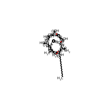 CCCCCCCCCCCCCCCCCCC(=O)N[C@@H](CC)CN1C(=O)N[C@H](CCC(N)=O)C(=O)N[C@@H]2CSCc3ccccc3CSC[C@@H](NC(=O)[C@H](CCC(=O)O)NC(=O)NC(=O)[C@H]([C@@H](C)O)NC(=O)[C@@H](CCC(=O)O)NC(=O)[C@@H]3CCCN3C(=O)C(CC(=O)O)NC2=O)C(=O)N[C@@H](CC(C)C)C(=O)N2CCC[C@@H]2C1=O